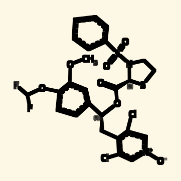 COc1cc([C@H](Cc2c(Cl)c[n+]([O-])cc2Cl)OC(=O)[C@@H]2SCCN2S(=O)(=O)c2ccccc2)ccc1OC(F)F